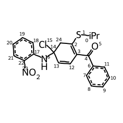 CC(C)SC1=C(C(=O)c2ccccc2)C=CC(Cl)(Nc2ccccc2[N+](=O)[O-])C1